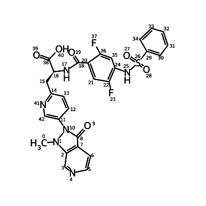 Cn1c2cnccc2c(=O)n1-c1ccc(C[C@H](NC(=O)c2cc(F)c(NS(=O)(=O)c3ccccc3)cc2F)C(=O)O)nc1